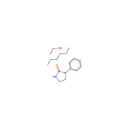 CCCCCC.CCO.O=C1NCCN1c1ccccc1